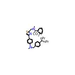 CCCC(CCC)c1ccc(CN(C)c2ccc(-c3csc(CN(C)[C@H](C(=O)O)c4ccccc4)n3)cc2)cc1